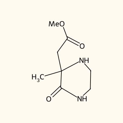 COC(=O)CC1(C)NCCNC1=O